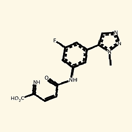 Cn1nncc1-c1cc(F)cc(NC(=O)/C=C\C(=N)C(=O)O)c1